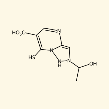 CC(O)N1C=C2N=CC(C(=O)O)=C(S)N2N1